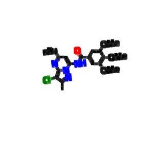 CCCCc1cc(NC(=O)c2cc(OC)c(OC)c(OC)c2)n2nc(C)c(Cl)c2n1